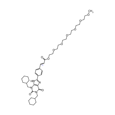 COCCOCCOCCOCCOCCOCCOC(=O)/C=C/c1ccc(-c2nc3c(=O)n(CC4CCCCC4)c(=O)n(CC4CCCCC4)c3[nH]2)cc1